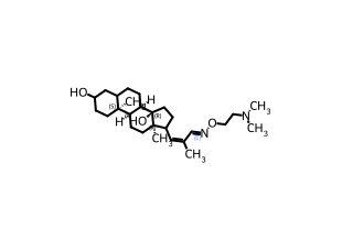 CC(=CC1CC[C@@]2(O)[C@@H]3CCC4CC(O)CC[C@]4(C)[C@@H]3CC[C@]12C)/C=N/OCCN(C)C